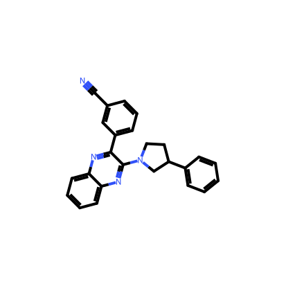 N#Cc1cccc(-c2nc3ccccc3nc2N2CCC(c3ccccc3)C2)c1